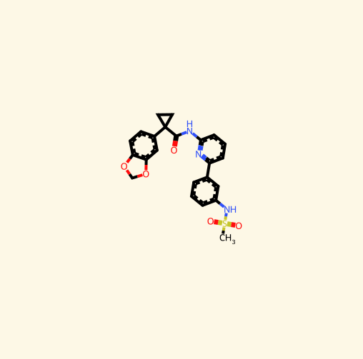 CS(=O)(=O)Nc1cccc(-c2cccc(NC(=O)C3(c4ccc5c(c4)OCO5)CC3)n2)c1